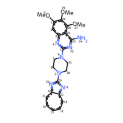 COc1cc2nc(N3CCN(c4nc5cccccc-5n4)CC3)nc(N)c2c(OC)c1OC